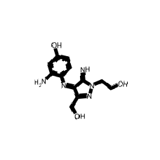 N=C1C(=Nc2ccc(O)cc2N)C(CO)=NN1CCO